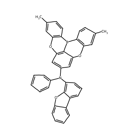 Cc1ccc2c(c1)Oc1cc(N(c3ccccc3)c3cccc4c3oc3ccccc34)cc3c1B2c1ccc(C)cc1O3